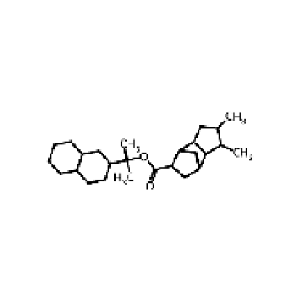 CC1CC2C3CC(CC3C(=O)OC(C)(C)C3CCC4CCCCC4C3)C2C1C